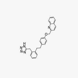 c1ccc(Cc2nnn[nH]2)c(CCc2ccc(OCc3ccc4ccccc4n3)cc2)c1